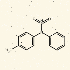 [CH2]c1ccc(N(c2ccccc2)[SH](=O)=O)cc1